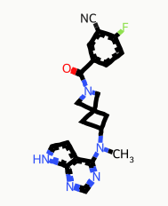 CN(c1ncnc2[nH]ccc12)C1CC2(C1)CN(C(=O)c1ccc(F)c(C#N)c1)C2